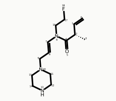 C=C[C@H](C)C(=O)N(/C=C/CN1CCNCC1)CCF